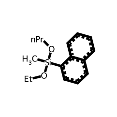 CCCO[Si](C)(OCC)c1cccc2ccccc12